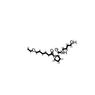 CCOCCCCCC(=O)N1CCC[C@H]1C(=O)NCCCCO